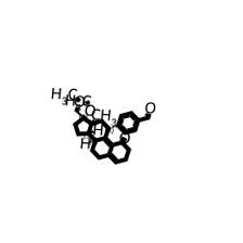 COC[C@]1(OC)CC[C@H]2[C@@H]3CCC4=CCCC(=O)C4=C3[C@@H](c3ccc(C=O)cc3)C[C@@]21C